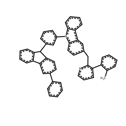 Cc1ccccc1-c1cccnc1Cc1ccc2c(c1)c1ccccc1n2-c1cccc(C2c3ccccc3-c3cc(-c4ccccc4)ccc32)c1